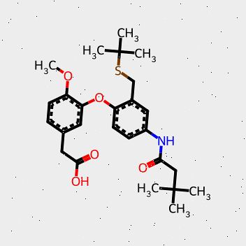 COc1ccc(CC(=O)O)cc1Oc1ccc(NC(=O)CC(C)(C)C)cc1CSC(C)(C)C